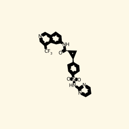 O=C(Nc1ccc2cncc(C(F)(F)F)c2c1)[C@@H]1C[C@H]1c1ccc(S(=O)(=O)Nc2ncccn2)cc1